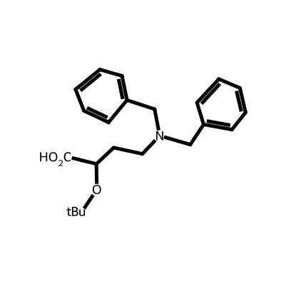 CC(C)(C)OC(CCN(Cc1ccccc1)Cc1ccccc1)C(=O)O